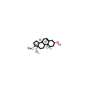 [2H]O[C@H]1CC[C@@]2(C)C(=CC[C@H]3[C@@H]4CC[C@H](O[2H])[C@@]4(C)CC[C@@H]32)C1